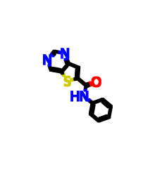 O=C(Nc1ccccc1)c1cc2ncncc2s1